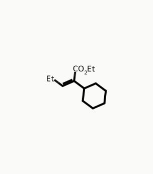 CCC=C(C(=O)OCC)C1CCCCC1